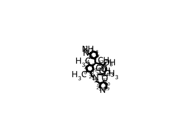 Cc1ccc(C(c2cccc(N=N)c2C)C(C)(C)C(=O)O)cc1CN1Cc2cnccc2OC(C)(C)C1